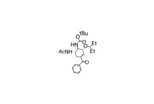 CCC(CC)O[C@@H]1C=C(C(=O)c2ccccc2)C[C@H](NC(C)=O)[C@H]1NC(=O)OC(C)(C)C